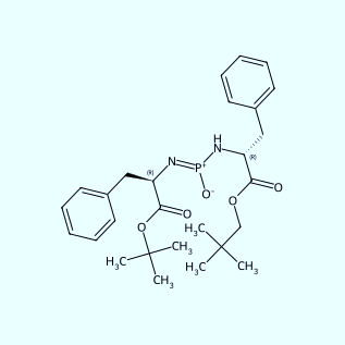 CC(C)(C)COC(=O)[C@@H](Cc1ccccc1)N[P+]([O-])=N[C@H](Cc1ccccc1)C(=O)OC(C)(C)C